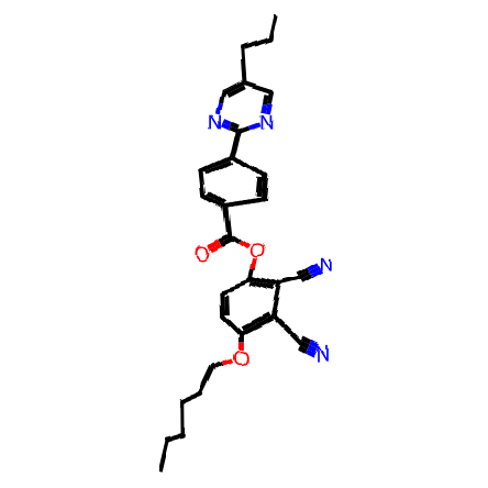 CCCCCCOc1ccc(OC(=O)c2ccc(-c3ncc(CCC)cn3)cc2)c(C#N)c1C#N